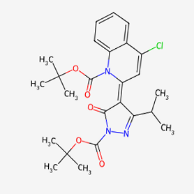 CC(C)C1=NN(C(=O)OC(C)(C)C)C(=O)/C1=C1/C=C(Cl)c2ccccc2N1C(=O)OC(C)(C)C